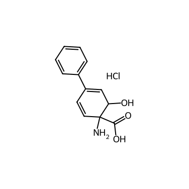 Cl.NC1(C(=O)O)C=CC(c2ccccc2)=CC1O